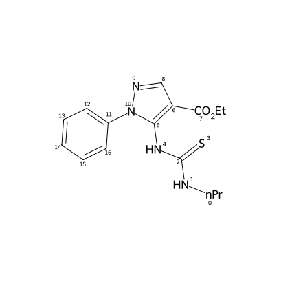 CCCNC(=S)Nc1c(C(=O)OCC)cnn1-c1ccccc1